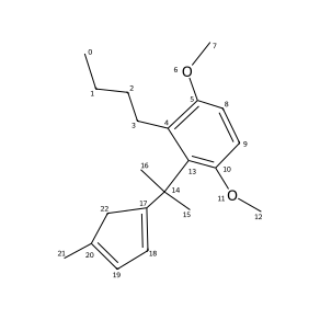 CCCCc1c(OC)ccc(OC)c1C(C)(C)C1=CC=C(C)C1